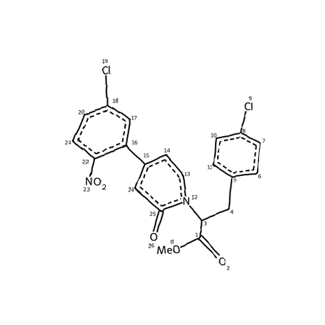 COC(=O)C(Cc1ccc(Cl)cc1)n1ccc(-c2cc(Cl)ccc2[N+](=O)[O-])cc1=O